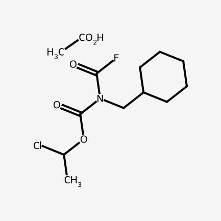 CC(=O)O.CC(Cl)OC(=O)N(CC1CCCCC1)C(=O)F